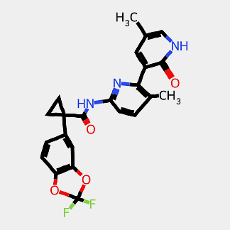 Cc1c[nH]c(=O)c(-c2nc(NC(=O)C3(c4ccc5c(c4)OC(F)(F)O5)CC3)ccc2C)c1